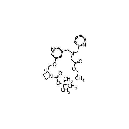 CCOC(=O)CN(Cc1cncc(OC[C@@H]2CCN2C(=O)OC(C)(C)C)c1)Cc1ccccn1